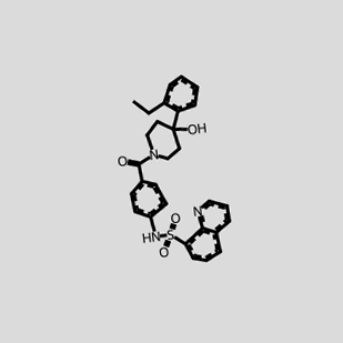 CCc1ccccc1C1(O)CCN(C(=O)c2ccc(NS(=O)(=O)c3cccc4cccnc34)cc2)CC1